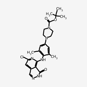 Cc1cc(N2CCN(C(=O)OC(C)(C)C)CC2)cc(C)c1Nc1nc(Cl)cc2cn[nH]c(=O)c12